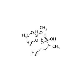 CCCC(C)P(=O)(O)O.CO[SiH](OC)OC